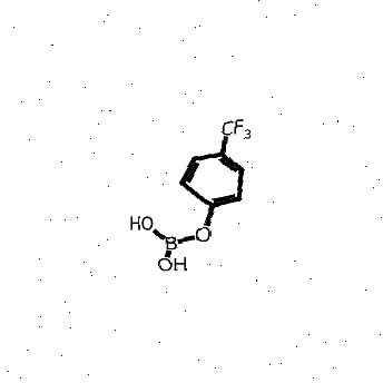 OB(O)Oc1ccc(C(F)(F)F)cc1